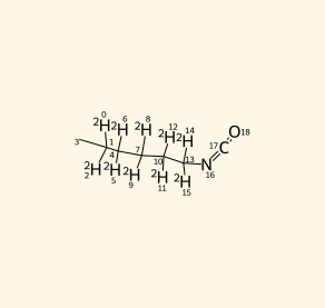 [2H]C([2H])(C)C([2H])([2H])C([2H])([2H])C([2H])([2H])C([2H])([2H])N=C=O